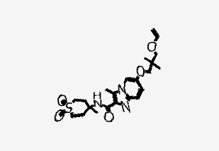 CCOCC(C)(C)COc1ccc2nc(C(=O)NC3(C)CCS(=O)(=O)CC3)c(C)n2c1